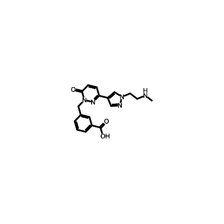 CNCCn1cc(-c2ccc(=O)n(Cc3cccc(C(=O)O)c3)n2)cn1